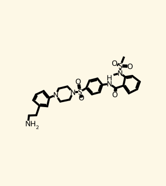 CN(c1ccccc1C(=O)Nc1ccc(S(=O)(=O)N2CCN(c3cccc(CCN)c3)CC2)cc1)S(C)(=O)=O